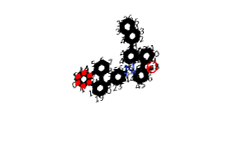 c1ccc(-c2ccccc2-c2c(-c3ccccc3)cccc2-c2ccc(N(c3ccc(-c4ccc5ccccc5c4)cc3)c3cccc4oc5ccccc5c34)cc2)cc1